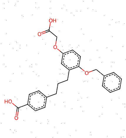 O=C(O)COc1ccc(OCc2ccccc2)c(CCCc2ccc(C(=O)O)cc2)c1